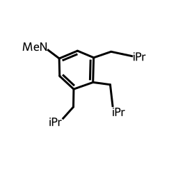 CNc1cc(CC(C)C)c(CC(C)C)c(CC(C)C)c1